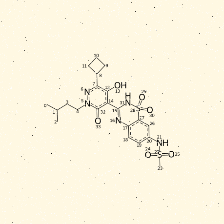 CC(C)CCn1nc(C2CCC2)c(O)c(C2=Nc3ccc(NS(C)(=O)=O)cc3S(=O)(=O)N2)c1=O